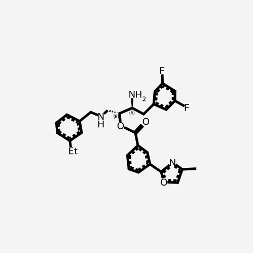 CCc1cccc(CNC[C@@H](OC(=O)c2cccc(-c3nc(C)co3)c2)[C@@H](N)Cc2cc(F)cc(F)c2)c1